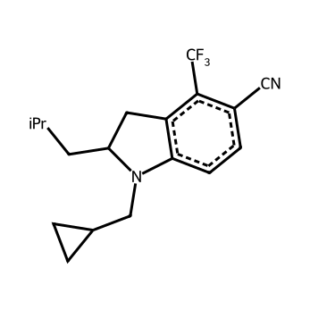 CC(C)CC1Cc2c(ccc(C#N)c2C(F)(F)F)N1CC1CC1